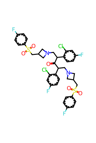 O=C(C(CN1CC(CS(=O)(=O)c2ccc(F)cc2)C1)c1ccc(F)cc1Cl)C(CN1CC(CS(=O)(=O)c2ccc(F)cc2)C1)c1ccc(F)cc1Cl